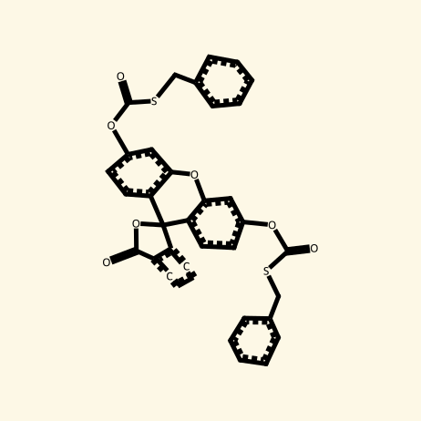 O=C(Oc1ccc2c(c1)Oc1cc(OC(=O)SCc3ccccc3)ccc1C21OC(=O)c2ccccc21)SCc1ccccc1